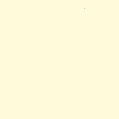 CCCCC(O)c1ccc(C2C(=O)CCC2COCc2cccc(P(=O)(O)O)c2)cc1